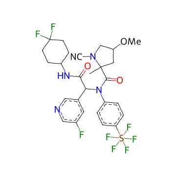 COC1CN(C#N)C(C)(C(=O)N(c2ccc(S(F)(F)(F)(F)F)cc2)C(C(=O)NC2CCC(F)(F)CC2)c2cncc(F)c2)C1